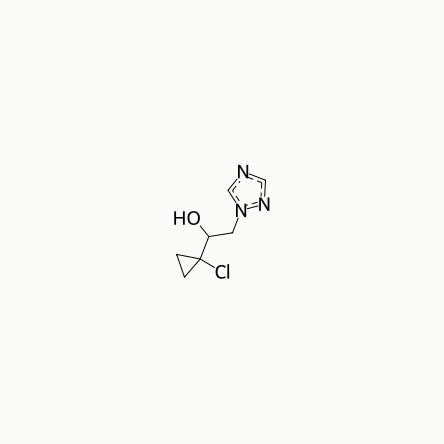 OC(Cn1cncn1)C1(Cl)CC1